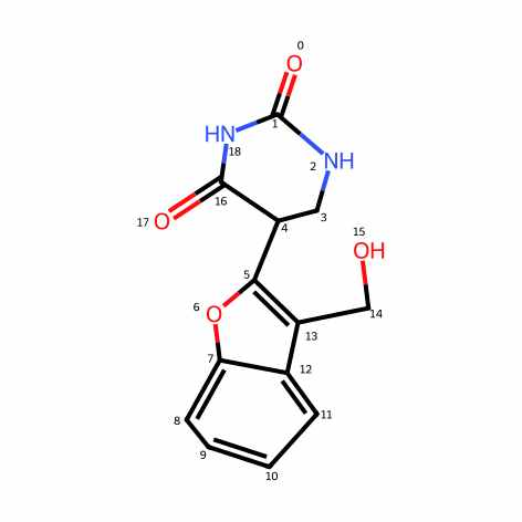 O=C1NCC(c2oc3ccccc3c2CO)C(=O)N1